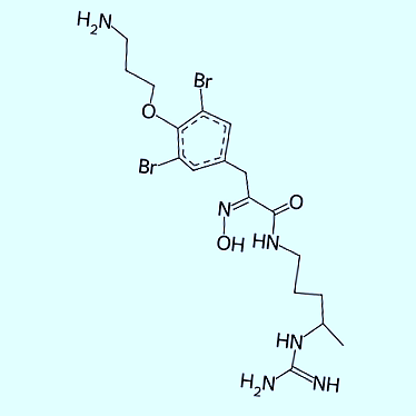 CC(CCCNC(=O)C(Cc1cc(Br)c(OCCCN)c(Br)c1)=NO)NC(=N)N